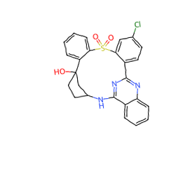 O=S1(=O)c2cc(Cl)ccc2-c2nc(c3ccccc3n2)NC2CCC(O)(C2)c2ccccc21